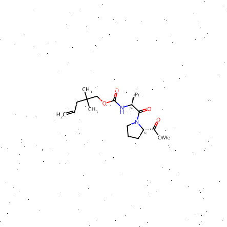 C=CCC(C)(C)COC(=O)N[C@H](C(=O)N1CCC[C@H]1C(=O)OC)C(C)C